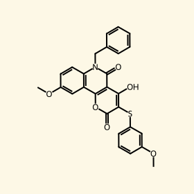 COc1cccc(Sc2c(O)c3c(=O)n(Cc4ccccc4)c4ccc(OC)cc4c3oc2=O)c1